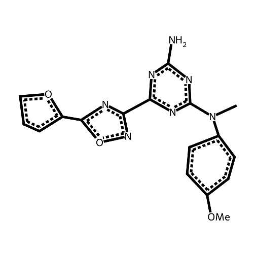 COc1ccc(N(C)c2nc(N)nc(-c3noc(-c4ccco4)n3)n2)cc1